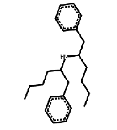 CCCCC(Cc1ccccc1)NC(CCCC)Cc1ccccc1